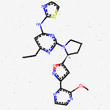 CCc1cc(Nc2nccs2)nc(N2CCC[C@H]2c2cc(-c3nccnc3OC)no2)n1